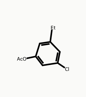 CCc1cc(Cl)cc(OC(C)=O)c1